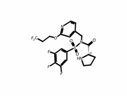 O=C([C@@H]1CCCN1)N(Cc1ccnc(OCCC(F)(F)F)c1)S(=O)(=O)c1cc(F)c(F)c(F)c1